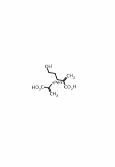 C=C(CCCCC)C(=O)O.C=C(CCCO)C(=O)O